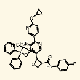 Cc1c(-c2ccc(OC3CC3)nc2)ncc(C2OCC2C(=O)Nc2ccc(F)cc2)c1O[Si](c1ccccc1)(c1ccccc1)C(C)(C)C